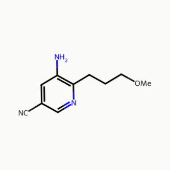 COCCCc1ncc(C#N)cc1N